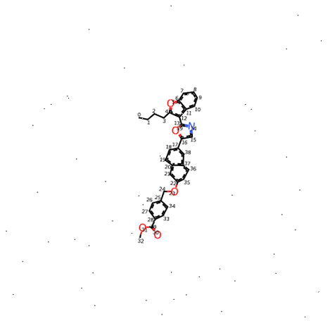 CCCCc1oc2ccccc2c1-c1ncc(-c2ccc3cc(OCc4ccc(C(=O)OC)cc4)ccc3c2)o1